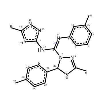 CC1=NN(/C(=N\c2cccc(C)c2)Nc2nnc(C)s2)C(c2ccc(C)cc2)S1